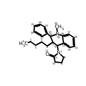 CCCCCC1C(N2CCCC2=O)c2ccccc2N(C)C1c1ccccc1